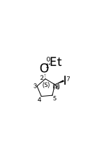 CCO[C@H]1CCC[C@@H]1I